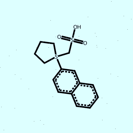 O=S(=O)(O)CS1(c2ccc3ccccc3c2)CCCC1